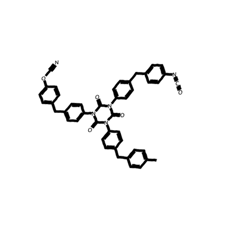 Cc1ccc(Cc2ccc(-n3c(=O)n(-c4ccc(Cc5ccc(N=C=O)cc5)cc4)c(=O)n(-c4ccc(Cc5ccc(OC#N)cc5)cc4)c3=O)cc2)cc1